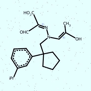 C/C(O)=C\N(CC1(c2cccc(C(C)C)c2)CCCC1)/N=C(\C=O)C(=O)O